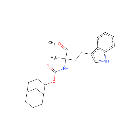 CC(C=O)(CCc1c[nH]c2ccccc12)NC(=O)OC1CCC2CCCC1C2.[CH2]